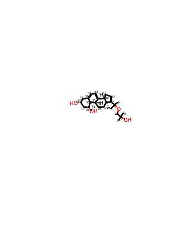 CC(C)(O)COC(C)(C)C1=CC[C@H]2C3=CC=C4C[C@@H](O)C[C@H](O)[C@]4(C)[C@H]3CC[C@]12C